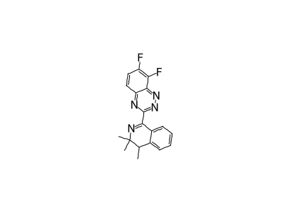 CC1c2ccccc2C(c2nnc3c(F)c(F)ccc3n2)=NC1(C)C